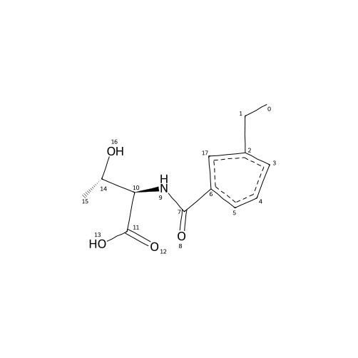 CCc1cccc(C(=O)N[C@@H](C(=O)O)[C@H](C)O)c1